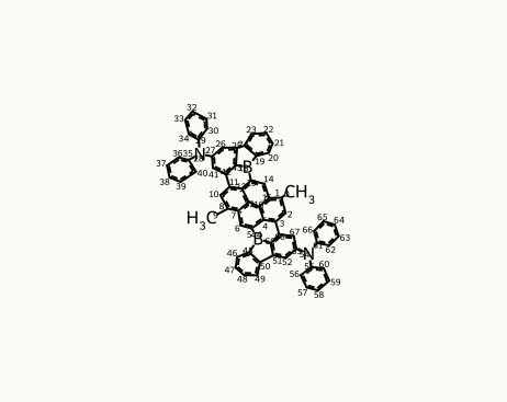 Cc1cc2c3c(cc4c(C)cc5c6c(cc1c3c46)B1c3ccccc3-c3cc(N(c4ccccc4)c4ccccc4)cc-5c31)B1c3ccccc3-c3cc(N(c4ccccc4)c4ccccc4)cc-2c31